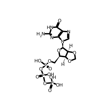 Nc1nc2c(ncn2[C@@H]2O[C@H](COP(=O)(O)OP(=O)(O)OP(=O)(O)O)[C@@H]3OCO[C@@H]32)c(=O)[nH]1